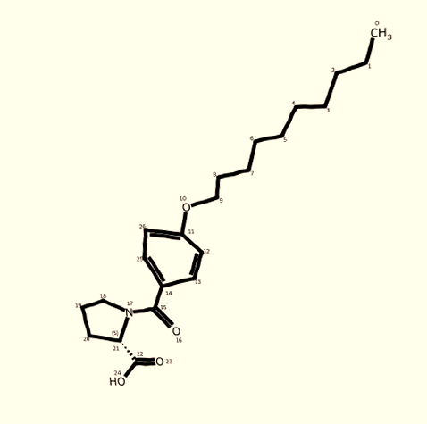 CCCCCCCCCCOc1ccc(C(=O)N2CCC[C@H]2C(=O)O)cc1